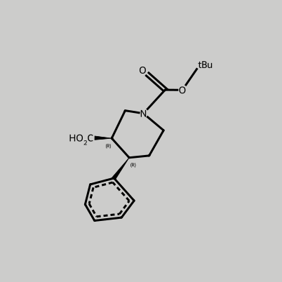 CC(C)(C)OC(=O)N1CC[C@@H](c2ccccc2)[C@@H](C(=O)O)C1